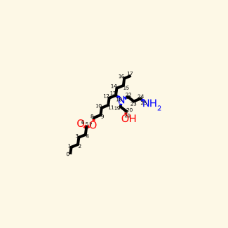 CCCCCC(=O)OCCCCCC(CCCC)N(CCO)CCCN